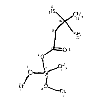 CCO[Si](C)(OCC)OC(=O)CC(C)(S)S